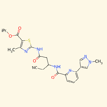 Cc1nc(NC(=O)CC(CC#N)NC(=O)c2cccc(-c3cnn(C)c3)n2)sc1C(=O)OC(C)C